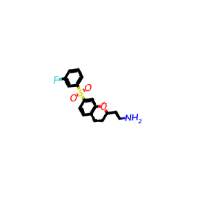 NCCC1CCc2ccc(S(=O)(=O)c3cccc(F)c3)cc2O1